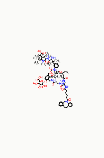 CNC(C(=O)NC(C(=O)N(C)C(/C=C(\C)C(=O)O)C(C)C)C(C)(C)C)C(C)(C)c1cccc(NC(=O)OCc2ccc(OC3OC(C(=O)O)C(O)C(O)C3O)c(CNC(=O)CCNC(=O)C(CNC(=O)CCC(C)(C)OCCC(C)(C)OC)NC(=O)CCCCC(=O)N3Cc4ccccc4/C=C\c4ccccc43)c2)c1